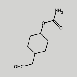 NC(=O)OC1CCC(CC=O)CC1